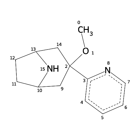 COC1(c2ccccn2)CC2CCC(C1)N2